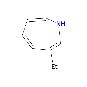 [CH2]CC1=CNC=CC=C1